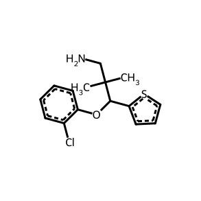 CC(C)(CN)C(Oc1ccccc1Cl)c1cccs1